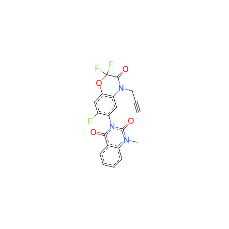 C#CCN1C(=O)C(F)(F)Oc2cc(F)c(-n3c(=O)c4ccccc4n(C)c3=O)cc21